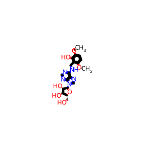 COc1ccc(OC)c(CNc2ncnc3c2ncn3C2O[C@H](CO)[C@@H](O)[C@H]2O)c1O